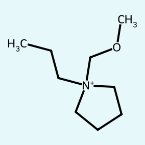 CCC[N+]1(COC)CCCC1